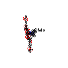 C=CC(=O)OCCCCCCOc1ccc(C(=O)Oc2ccc(OC(=O)c3ccc(OCCCCCCOC(=O)C=C)cc3)c(/C=N/n3c4ccccc4c4cc(OC)ccc43)c2)cc1